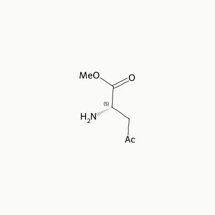 COC(=O)[C@@H](N)CC(C)=O